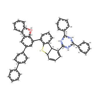 C1=CC2Sc3c(-c4cc(-c5ccc(-c6ccccc6)cc5)cc5c4oc4ccccc45)cccc3C2C(c2nc(-c3ccccc3)nc(-c3ccccc3)n2)=C1